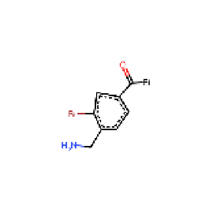 CCC(=O)c1ccc(CN)c(Br)c1